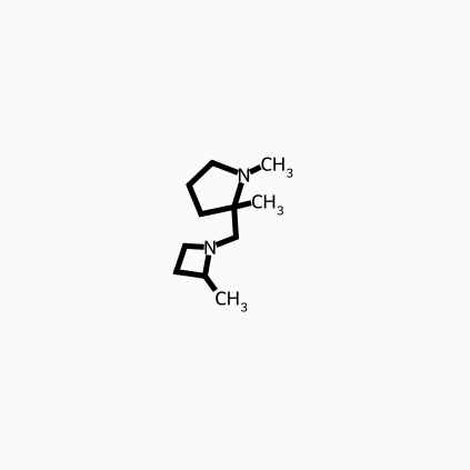 CC1CCN1CC1(C)CCCN1C